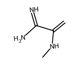 C=C(NC)C(=N)N